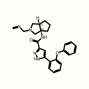 C=NCN1C[C@@H]2CCC[C@]2(NC(=O)c2cc(-c3ccccc3Oc3ccccc3)[nH]n2)C1